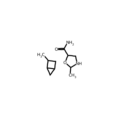 CC1CC2CC12.CC1NCC(C(N)=O)O1